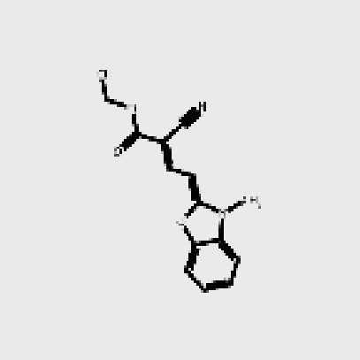 CCOC(=O)/C(C#N)=C/C=C1\Oc2ccccc2N1C